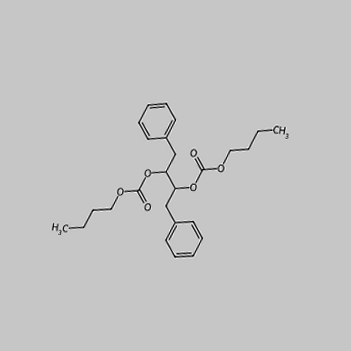 CCCCOC(=O)OC(Cc1ccccc1)C(Cc1ccccc1)OC(=O)OCCCC